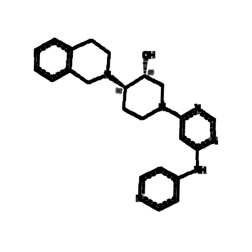 O[C@@H]1CN(c2cc(Nc3ccncc3)ncn2)CC[C@H]1N1CCc2ccccc2C1